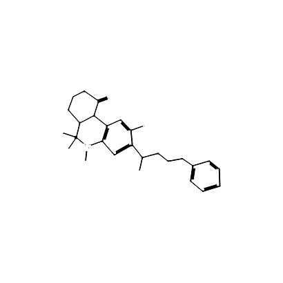 CC(CCCc1ccccc1)c1cc2c(cc1O)C1C(=O)CCCC1C(C)(C)N2C